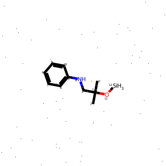 CC(C)(CNc1ccccc1)O[SiH3]